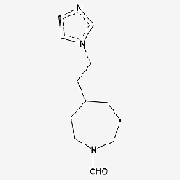 O=CN1CCCC(CCn2ccnc2)CC1